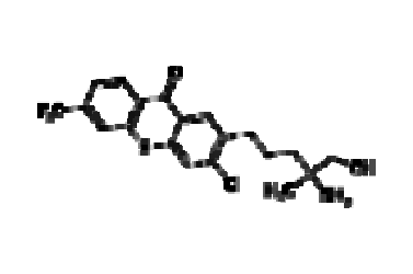 CC(N)(CO)CCCc1cc2c(=O)c3ccc(C(F)(F)F)cc3sc2cc1Cl